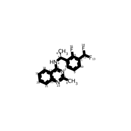 Cc1nc(N[C@H](C)c2cccc(C(F)F)c2F)c2ccccc2n1